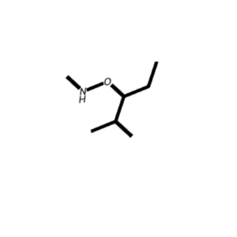 CCC(ONC)C(C)C